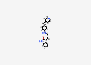 O=C1Nc2ccccc2C1C=C=CNc1ccc(Cc2ccncc2)cc1